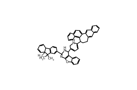 CC1(C)c2cc(C3=Nc4oc5ccccc5c4C(C4=CC=C(C5CCc6cc7ccccc7cc6-c6ccc7ccccc7c65)NC4)N3)ccc2C2C=CC=CC21C